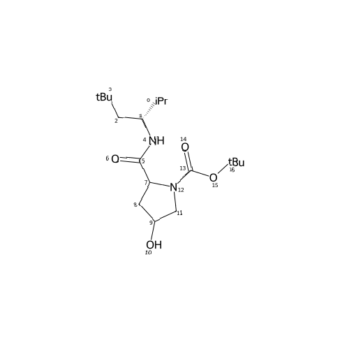 CC(C)[C@@H](CC(C)(C)C)NC(=O)C1CC(O)CN1C(=O)OC(C)(C)C